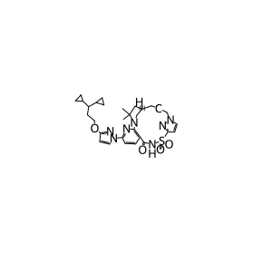 CC1(C)C[C@H]2CCCn3ccc(n3)S(=O)(=O)NC(=O)c3ccc(-n4ccc(OCCC(C5CC5)C5CC5)n4)nc3N1C2